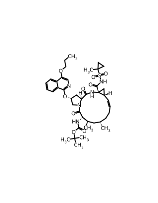 CCCOc1cnc(O[C@@H]2C[C@H]3C(=O)N[C@]4(C(=O)NS(=O)(=O)C5(C)CC5)C[C@@H]4/C=C\CC[C@H](C)C[C@@H](C)[C@H](NC(=O)OC(C)(C)C)C(=O)N3C2)c2ccccc12